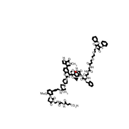 COc1ccc(C#CCNC2(C)CCN(C3CCN(c4nc([C@@](COCNC(=O)CNC(=O)[C@H](Cc5ccccc5)NC(=O)CNC(=O)CNC(=O)CCOCCOCCN5C(=O)C(Sc6ccccc6)=C(Sc6ccccc6)C5=O)(OC5CC5)c5ccccc5)c5cc(-c6cn(C)c(=O)c7[nH]ccc67)ccc5n4)CC3)CC2)cc1N1CCC(=O)N(CNC(=O)CNC(=O)CCC(=O)O)C1=O